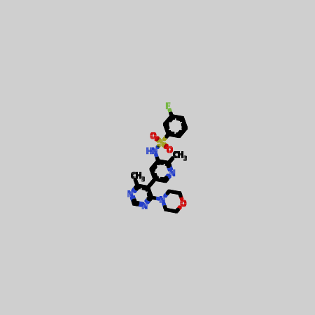 Cc1ncc(-c2c(C)ncnc2N2CCOCC2)cc1NS(=O)(=O)c1cccc(F)c1